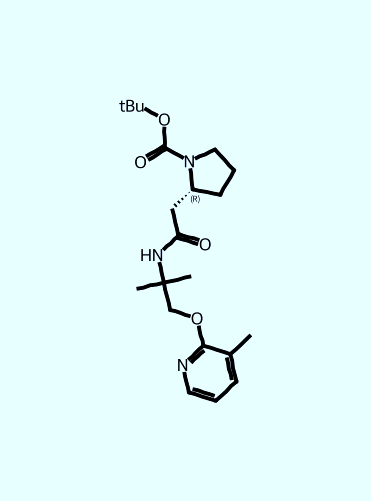 Cc1cccnc1OCC(C)(C)NC(=O)C[C@H]1CCCN1C(=O)OC(C)(C)C